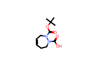 CC(C)(C)OC(=O)N1CC=CCCN1C(=O)O